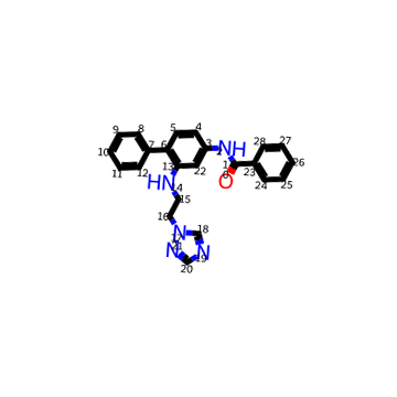 O=C(Nc1ccc(-c2ccccc2)c(NCCn2cncn2)c1)c1ccccc1